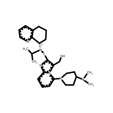 CC(C)N(Cc1nc2cccc(N3CCC(N(C)C)CC3)n2c1CO)[C@H]1CCCc2cccnc21